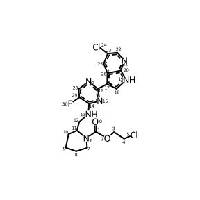 O=C(OCCCl)N1CCCCC1CNc1nc(-c2c[nH]c3ncc(Cl)cc23)ncc1F